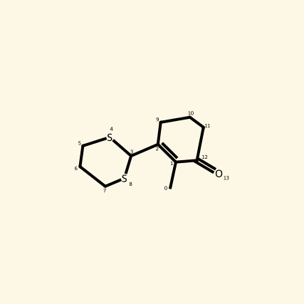 CC1=C(C2SCCCS2)CCCC1=O